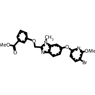 COC(=O)c1cccc(OCc2nc3ccc(Oc4ccc(Br)c(OC)n4)cc3n2C)c1